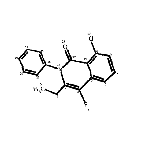 CCc1c(F)c2cccc(Cl)c2c(=O)n1-c1ccccc1